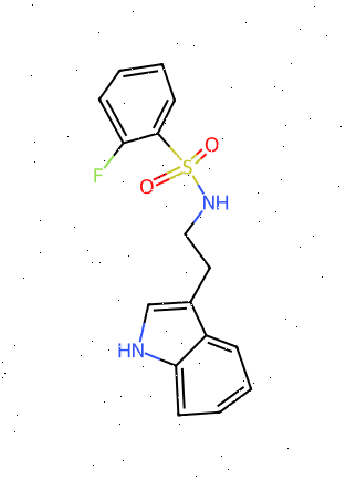 O=S(=O)(NCCc1c[nH]c2ccccc12)c1ccccc1F